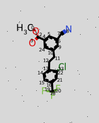 COC(=O)c1cc(C#N)cc(CCc2ccc(C(F)(F)F)cc2Cl)c1